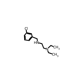 CCN(CC)CCNCc1cccc(Cl)c1